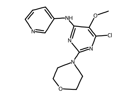 COc1c(Cl)nc(N2CCOCC2)nc1Nc1cccnc1